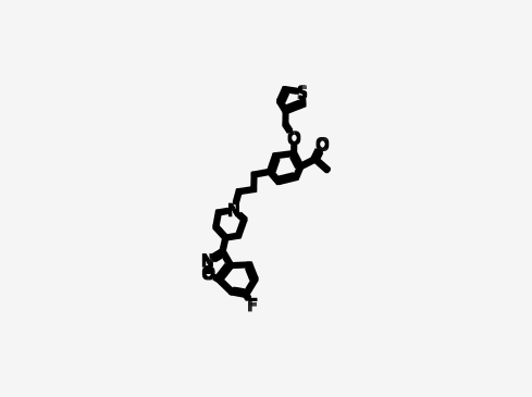 CC(=O)c1ccc(CCCN2CCC(c3noc4cc(F)ccc34)CC2)cc1OCc1ccsc1